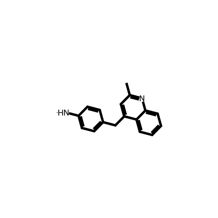 Cc1cc(Cc2ccc([NH])cc2)c2ccccc2n1